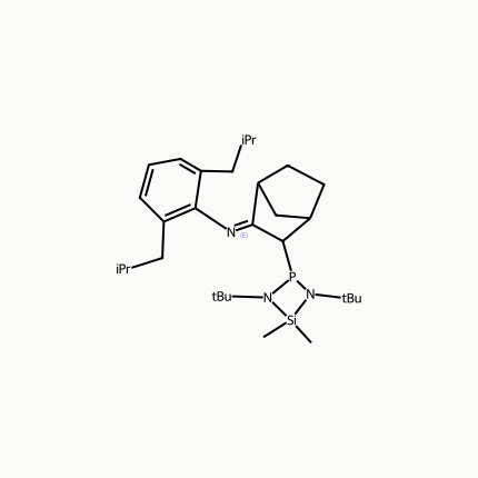 CC(C)Cc1cccc(CC(C)C)c1/N=C1\C2CCC(C2)C1P1N(C(C)(C)C)[Si](C)(C)N1C(C)(C)C